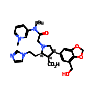 CCCCN(C(=O)CN1C[C@H](c2cc(CO)c3c(c2)OCO3)[C@@H](C(=O)O)[C@@H]1CCn1ccnc1)c1ccc[n+](C)c1